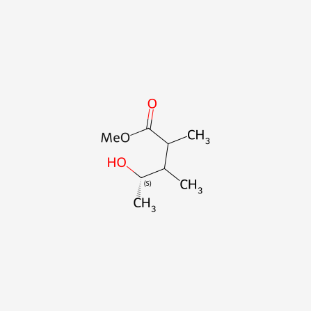 COC(=O)C(C)C(C)[C@H](C)O